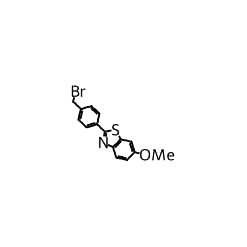 COc1ccc2nc(-c3ccc(CBr)cc3)sc2c1